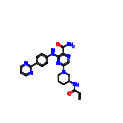 C=CC(=O)NC1CCCN(c2cnc(C(N)=O)c(Nc3ccc(-c4ncccn4)cc3)n2)C1